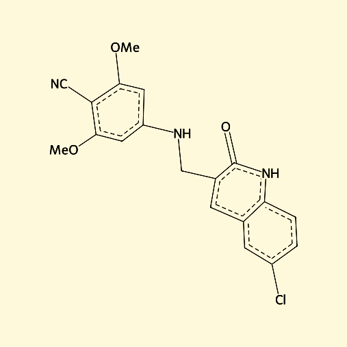 COc1cc(NCc2cc3cc(Cl)ccc3[nH]c2=O)cc(OC)c1C#N